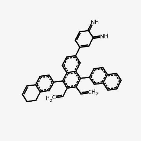 C=Cc1c(C=C)c(-c2ccc3ccccc3c2)c2cc(C3=CC(=N)C(=N)C=C3)ccc2c1-c1ccc2c(c1)CCC=C2